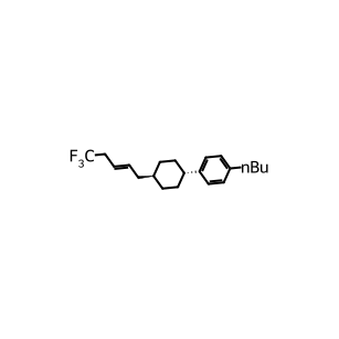 CCCCc1ccc([C@H]2CC[C@H](C/C=C/CC(F)(F)F)CC2)cc1